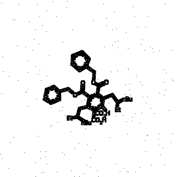 CCCCC(CC)Cc1c(C(=O)O)c(C(=O)O)c(CC(CC)CCCC)c(C(=O)OCc2ccccc2)c1C(=O)OCc1ccccc1